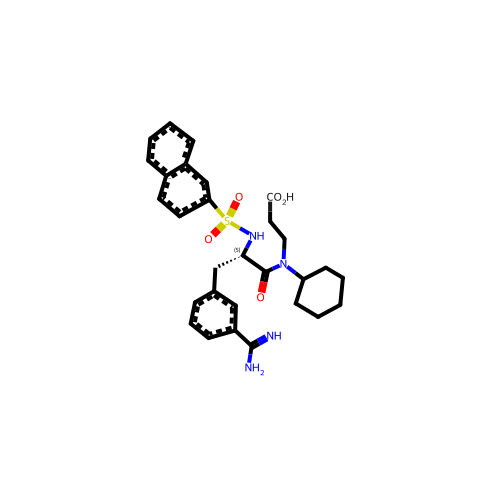 N=C(N)c1cccc(C[C@H](NS(=O)(=O)c2ccc3ccccc3c2)C(=O)N(CCC(=O)O)C2CCCCC2)c1